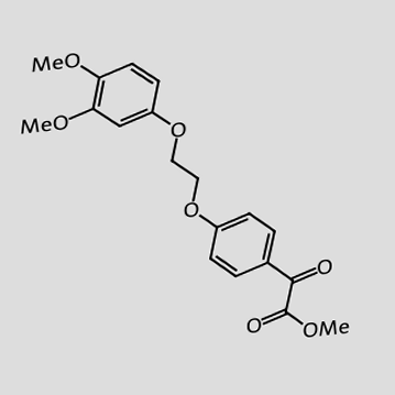 COC(=O)C(=O)c1ccc(OCCOc2ccc(OC)c(OC)c2)cc1